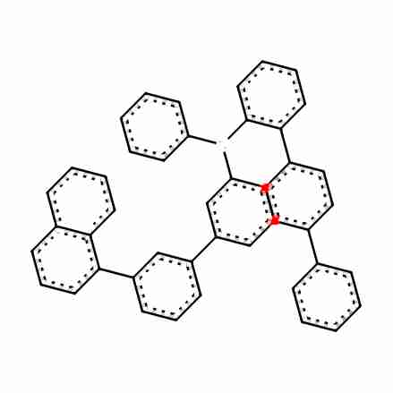 c1ccc(-c2ccc(-c3ccccc3N(c3ccccc3)c3cccc(-c4cccc(-c5cccc6ccccc56)c4)c3)cc2)cc1